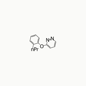 CCCc1ccccc1Oc1cccnn1